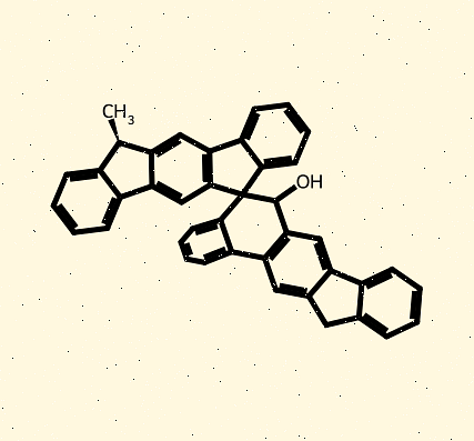 C[C@@H]1c2ccccc2-c2cc3c(cc21)-c1ccccc1C31c2ccccc2-c2cc3c(cc2C1O)-c1ccccc1C3